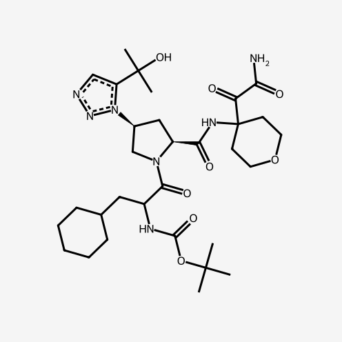 CC(C)(C)OC(=O)NC(CC1CCCCC1)C(=O)N1C[C@@H](n2nncc2C(C)(C)O)C[C@H]1C(=O)NC1(C(=O)C(N)=O)CCOCC1